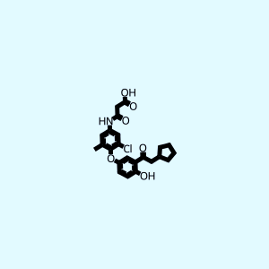 Cc1cc(NC(=O)CC(=O)O)cc(Cl)c1Oc1ccc(O)c(C(=O)CC2CCCC2)c1